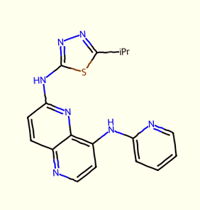 CC(C)c1nnc(Nc2ccc3nccc(Nc4ccccn4)c3n2)s1